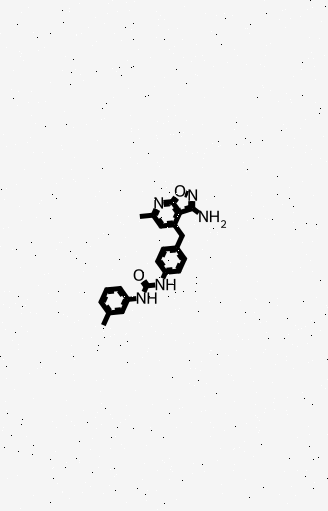 Cc1cccc(NC(=O)Nc2ccc(Cc3cc(C)nc4onc(N)c34)cc2)c1